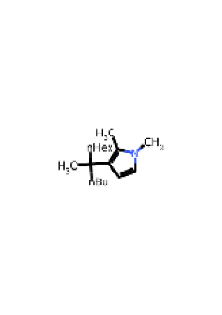 CCCCCCC(C)(CCCC)c1ccn(C)c1C